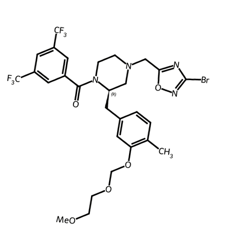 COCCOCOc1cc(C[C@@H]2CN(Cc3nc(Br)no3)CCN2C(=O)c2cc(C(F)(F)F)cc(C(F)(F)F)c2)ccc1C